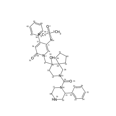 CS(C)(=O)=Nc1cn(CC2(O)CCN(C(=O)N3CCNCC3c3ccccc3)CC23CCCC3)c(=O)cc1-c1ccccc1